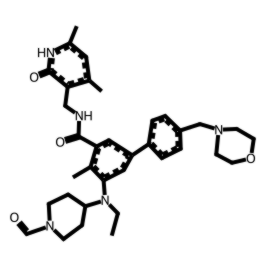 CCN(c1cc(-c2ccc(CN3CCOCC3)cc2)cc(C(=O)NCc2c(C)cc(C)[nH]c2=O)c1C)C1CCN(C=O)CC1